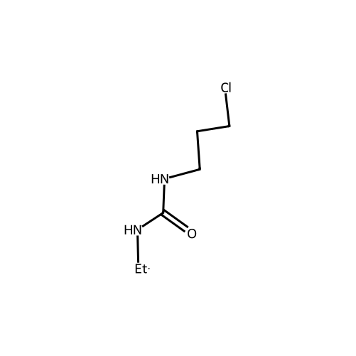 C[CH]NC(=O)NCCCCl